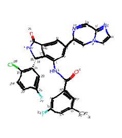 O=C(Nc1cc(-c2cn3ccnc3cn2)cc2c1[C@H](c1cc(F)ccc1Cl)NC2=O)c1cc(F)cc(C(F)(F)F)c1